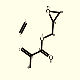 C=C.C=C(C)C(=O)OCC1CO1